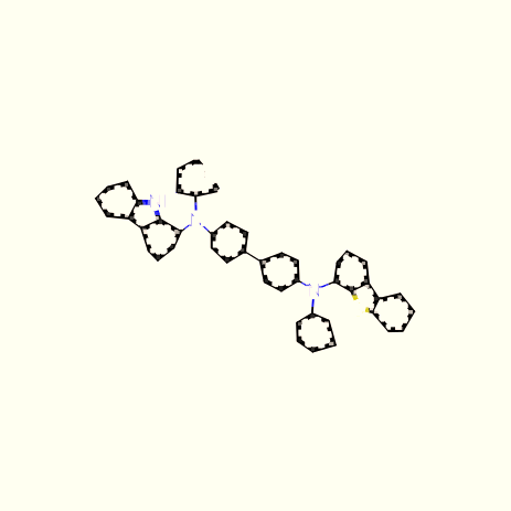 c1ccc(N(c2ccc(-c3ccc(N(c4ccccc4)c4cccc5c4sc4ccccc45)cc3)cc2)c2cccc3c2[nH]c2ccccc23)cc1